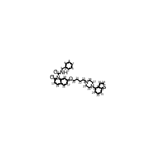 O=C(NCc1ccccc1)n1c(=O)ccc2ccc(OCCCCN3CCN(c4cccc5sccc45)CC3)cc21